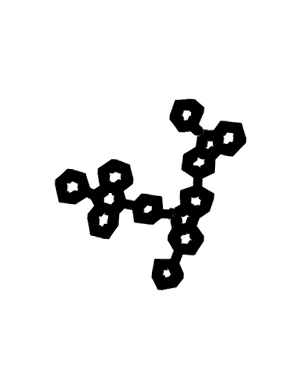 c1ccc(-c2ccc3c4ccc(-c5ccc6c(c5)c5ccccc5n6-c5ccccc5)cc4n(-c4ccc(-c5c6ccccc6c(-c6ccccc6)c6ccccc56)cc4)c3c2)cc1